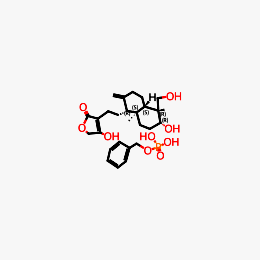 C=C1CC[C@@H]2[C@](C)(CO)[C@H](O)CC[C@@]2(C)[C@@H]1CCC1=C(O)COC1=O.O=P(O)(O)OCc1ccccc1